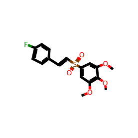 COc1cc(S(=O)(=O)C=Cc2ccc(F)cc2)cc(OC)c1OC